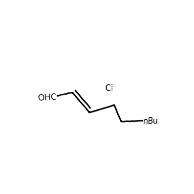 CCCCCCC=CC=O.[C]